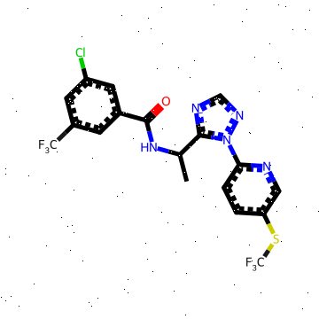 CC(NC(=O)c1cc(Cl)cc(C(F)(F)F)c1)c1ncnn1-c1ccc(SC(F)(F)F)cn1